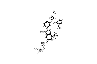 Cn1cnnc1C[C@]1(c2cccc(N3Cc4c(cc(CNC5CCC(C)(C)C5)cc4C(F)(F)F)C3O)c2)C[C@H](C#N)C1